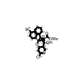 COC(=O)[C@@H]1C(c2ccccc2)[C@@]2(c3ccc(Br)cc3)Oc3cc(Cl)ncc3[C@@]1(O)C2=O